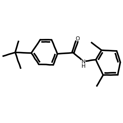 Cc1cccc(C)c1NC(=O)c1ccc(C(C)(C)C)cc1